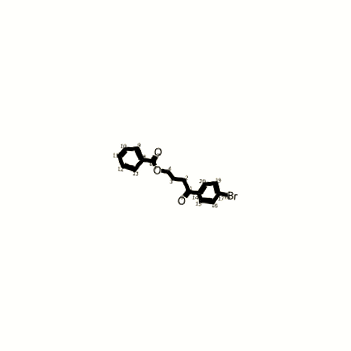 O=C(CCCOC(=O)c1ccccc1)c1ccc(Br)cc1